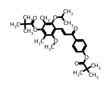 COc1c(C)c(OC(=O)C(C)(C)C)c(C)c(OC(C)C)c1C=CC(=O)c1ccc(OC(=O)C(C)(C)C)cc1